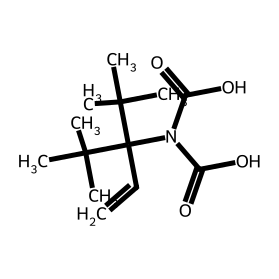 C=CC(N(C(=O)O)C(=O)O)(C(C)(C)C)C(C)(C)C